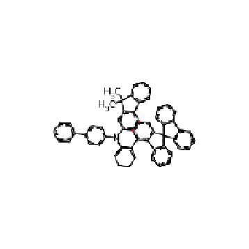 CC1(C)c2ccccc2-c2ccc(N(C3=CCCC=C3c3cccc4c3-c3ccccc3C43c4ccccc4-c4ccccc43)c3ccc(-c4ccccc4)cc3)cc21